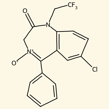 O=C1C[N+]([O-])=C(c2ccccc2)c2cc(Cl)ccc2N1CC(F)(F)F